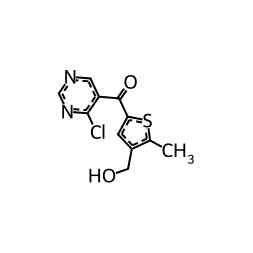 Cc1sc(C(=O)c2cncnc2Cl)cc1CO